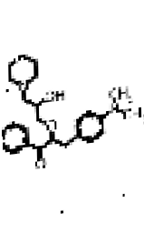 CN(C)c1ccc(CC(OCC(O)CN2CCCCC2)C(=O)c2ccccc2)cc1